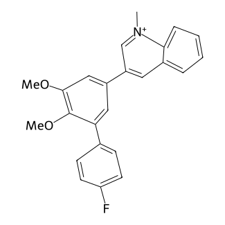 COc1cc(-c2cc3ccccc3[n+](C)c2)cc(-c2ccc(F)cc2)c1OC